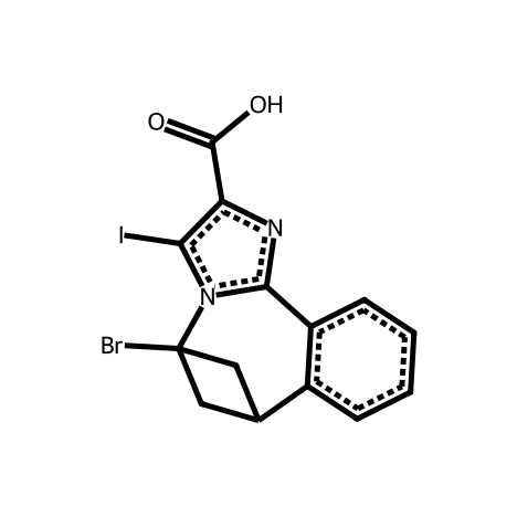 O=C(O)c1nc2n(c1I)C1(Br)CC(C1)c1ccccc1-2